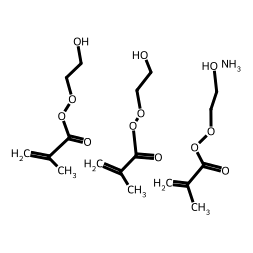 C=C(C)C(=O)OOCCO.C=C(C)C(=O)OOCCO.C=C(C)C(=O)OOCCO.N